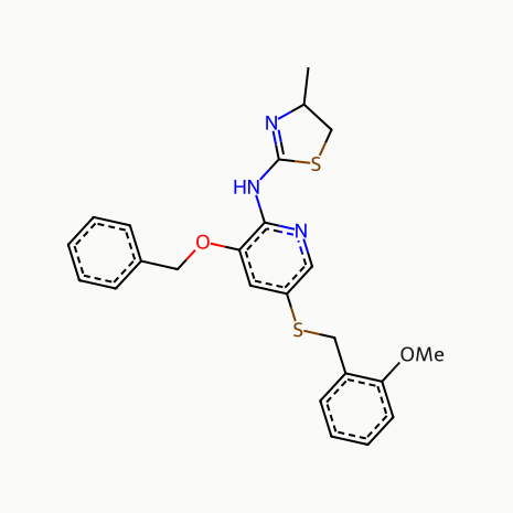 COc1ccccc1CSc1cnc(NC2=NC(C)CS2)c(OCc2ccccc2)c1